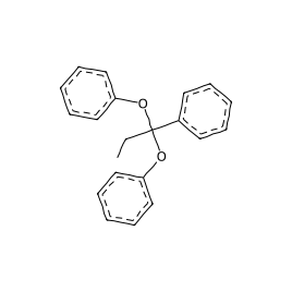 CCC(Oc1ccccc1)(Oc1ccccc1)c1ccccc1